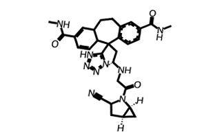 CNC(=O)C1=CC2CCc3cc(C(=O)NC)ccc3C(C[C@@H](C)NCC(=O)N3C(C#N)C[C@@H]4C[C@@H]43)(c3nnn[nH]3)C2C=C1